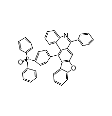 O=P(c1ccccc1)(c1ccccc1)c1ccc(-c2c3c(cc4c(-c5ccccc5)nc5ccccc5c24)oc2ccccc23)cc1